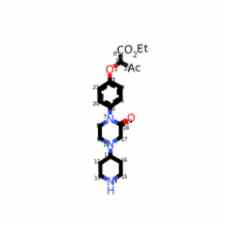 CCOC(=O)C(Oc1ccc(N2CCN(C3CCNCC3)CC2=O)cc1)C(C)=O